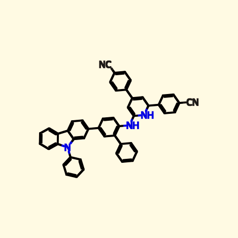 N#Cc1ccc(C2=CC(c3ccc(C#N)cc3)NC(Nc3ccc(-c4ccc5c6ccccc6n(-c6ccccc6)c5c4)cc3-c3ccccc3)=C2)cc1